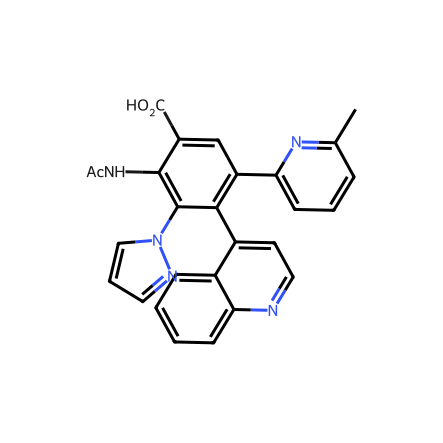 CC(=O)Nc1c(C(=O)O)cc(-c2cccc(C)n2)c(-c2ccnc3ccccc23)c1-n1cccn1